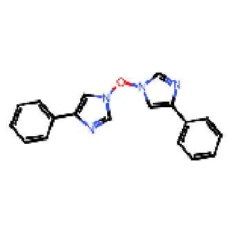 c1ccc(-c2cn(On3cnc(-c4ccccc4)c3)cn2)cc1